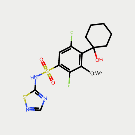 COc1c(F)c(S(=O)(=O)Nc2ncns2)cc(F)c1C1(O)CCCCC1